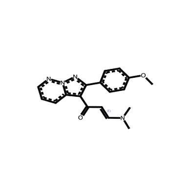 COc1ccc(-c2nn3ncccc3c2C(=O)/C=C/N(C)C)cc1